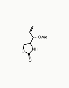 C=C[C@H](OC)[C@@H]1COC(=O)N1